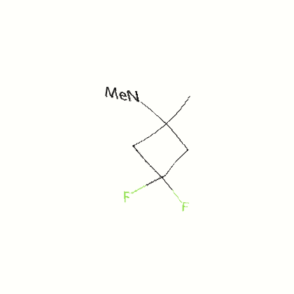 CNC1(C)CC(F)(F)C1